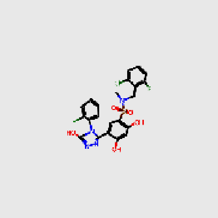 CN(Cc1c(F)cccc1Cl)S(=O)(=O)c1cc(-c2nnc(O)n2-c2ccccc2F)c(O)cc1O